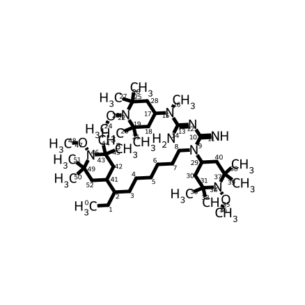 CCC(CCCCCCN(C(=N)/N=C(\N)N(C)C1CC(C)(C)N(OC)C(C)(C)C1)C1CC(C)(C)N(OC)C(C)(C)C1)C1CC(C)(C)N(OC)C(C)(C)C1